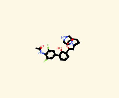 CC(=O)Nc1c(F)cc(-c2cccc(/C3=C/C(N4CCNCC4)=C/CCCO3)c2O)cc1F